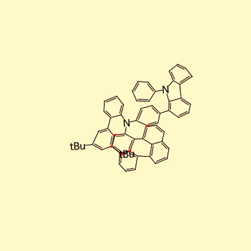 CC(C)(C)c1cc(-c2ccccc2N(c2ccc(-c3cccc4c5ccccc5n(-c5ccccc5)c34)cc2)c2ccccc2-c2cccc3cccc(-c4ccccc4)c23)cc(C(C)(C)C)c1